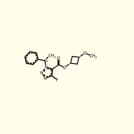 CO[C@H]1C[C@@H](OC(=O)c2c(F)nnn2[C@H](C)c2ccccc2)C1